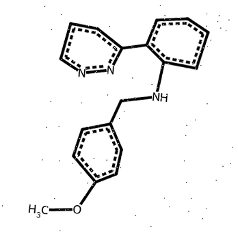 COc1ccc(CNc2ccccc2-c2cccnn2)cc1